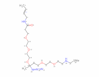 C/C=C/CNC(=O)CCOCCOCCOC(C)(CCOCCOCCNCSC)N=[N+]=[N-]